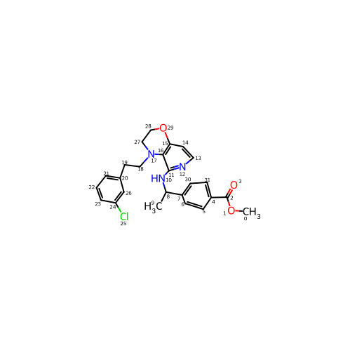 COC(=O)c1ccc(C(C)Nc2nccc3c2N(CCc2cccc(Cl)c2)CCO3)cc1